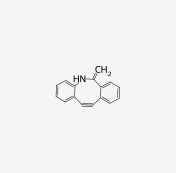 C=C1Nc2ccccc2C#Cc2ccccc21